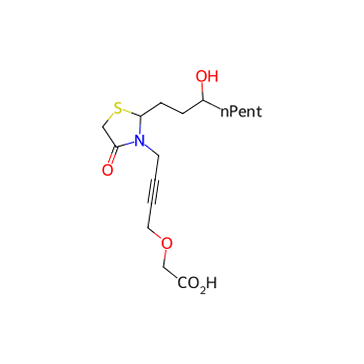 CCCCCC(O)CCC1SCC(=O)N1CC#CCOCC(=O)O